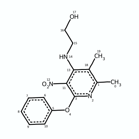 Cc1nc(Oc2ccccc2)c([N+](=O)[O-])c(NCCO)c1C